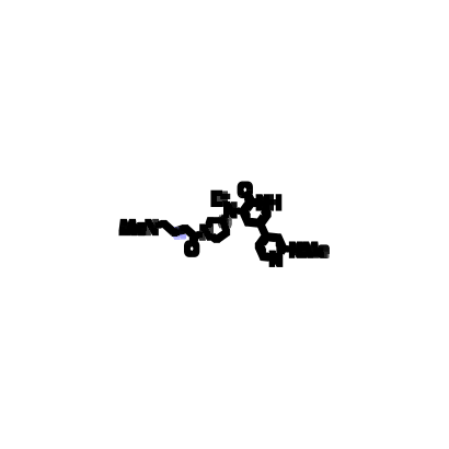 CCN(c1cc(-c2ccnc(NC)c2)c[nH]c1=O)[C@H]1CCN(C(=O)/C=C/CNC)C1